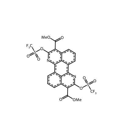 COC(=O)c1c(OS(=O)(=O)C(F)(F)F)nc2c3cccc4c(C(=O)OC)c(OS(=O)(=O)C(F)(F)F)nc(c5cccc1c52)c43